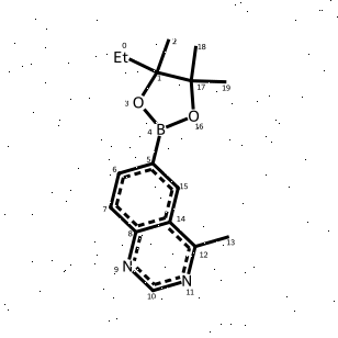 CCC1(C)OB(c2ccc3ncnc(C)c3c2)OC1(C)C